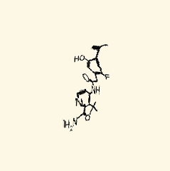 C=C(C)c1cc(F)c(CC(=O)Nc2ccnc(C(N)=O)c2C(C)(C)C)cc1O